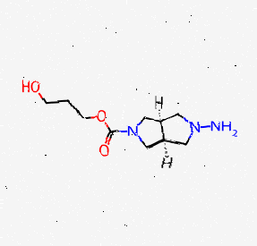 NN1C[C@@H]2CN(C(=O)OCCCO)C[C@@H]2C1